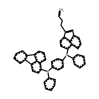 C=CCCC1=Cc2cccc3c(N(c4ccccc4)c4ccc(N(c5ccccc5)c5ccc6c7c(cccc57)-c5ccccc5-6)cc4)ccc1c23